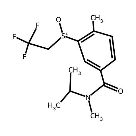 Cc1ccc(C(=O)N(C)C(C)C)cc1[S+]([O-])CC(F)(F)F